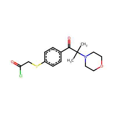 CC(C)(C(=O)c1ccc(SCC(=O)Cl)cc1)N1CCOCC1